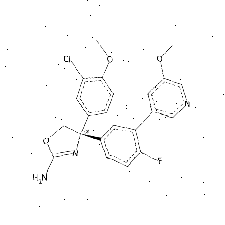 COc1cncc(-c2cc([C@]3(c4ccc(OC)c(Cl)c4)COC(N)=N3)ccc2F)c1